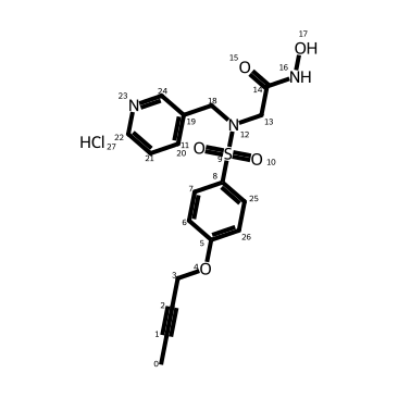 CC#CCOc1ccc(S(=O)(=O)N(CC(=O)NO)Cc2cccnc2)cc1.Cl